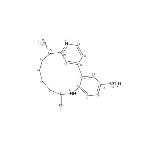 N[C@H]1CCCCC(=O)Nc2ccc(C(=O)O)cc2-c2ccnc1c2